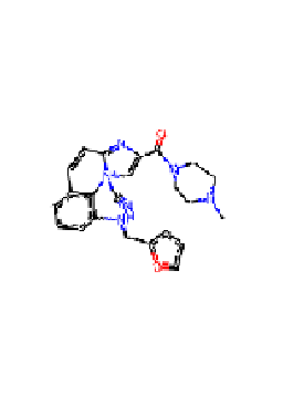 CN1CCN(C(=O)C2=C[N+]3(C#N)C(=N2)C=Cc2cccc(NCc4ccco4)c23)CC1